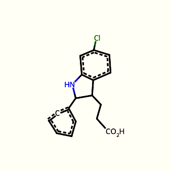 O=C(O)CCC1c2ccc(Cl)cc2NC1c1ccccc1